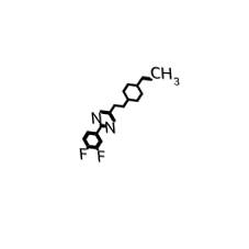 CC=CC1CCC(CCc2cnc(-c3ccc(F)c(F)c3)nc2)CC1